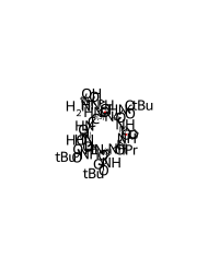 CC(C)C[C@@H]1NC(=O)[C@@H](Cc2ccccc2)NC(=O)[C@H](CCNC(=O)OC(C)(C)C)NC(=O)[C@@H](NC(=O)C2(NC(=O)[C@@H](N)[C@@H](C)O)CC2)CCNC(=O)[C@H]([C@@H](C)O)NC(=O)[C@H](CCNC(=O)OC(C)(C)C)NC(=O)[C@H](CCNC(=O)OC(C)(C)C)NC1=O